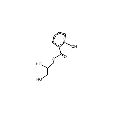 O=C(OCC(O)CO)c1ccccc1O